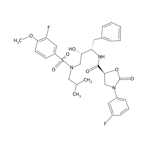 COc1ccc(S(=O)(=O)N(CC(C)C)C[C@H](O)[C@H](Cc2ccccc2)NC(=O)[C@@H]2CN(c3cccc(F)c3)C(=O)O2)cc1F